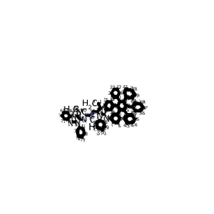 C=Cc1nc2n(-c3cccc(-c4c(-c5ccccc5)c(-c5ccccc5)c(-c5ccccc5)c(-c5ccccc5)c4-c4ccccc4)c3)c3ccccc3n2c1/C=C(C)/C(C)=N/c1c(N=C)n2c3ccccc3nc2n1-c1ccccc1